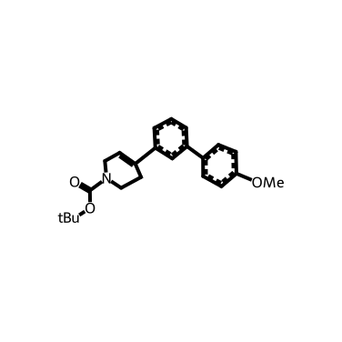 COc1ccc(-c2cccc(C3=CCN(C(=O)OC(C)(C)C)CC3)c2)cc1